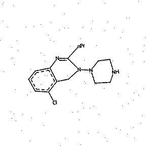 CCCC1=Nc2cccc(Cl)c2CN1N1CCNCC1